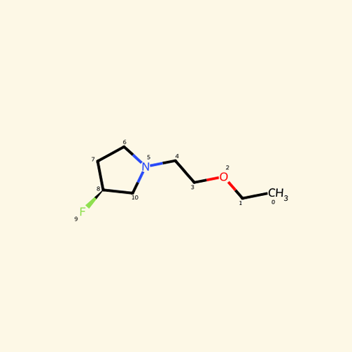 CCOCCN1CC[C@H](F)C1